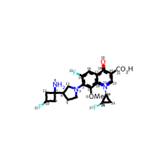 COc1c(N2CCC(C3(N)CC(F)C3)C2)c(F)cc2c(=O)c(C(=O)O)cn([C@@H]3C[C@H]3F)c12